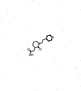 O=C(O)CC1CCCN(CCc2ccncc2)C1=O